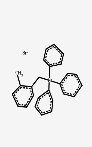 Cc1ccccc1C[P+](c1ccccc1)(c1ccccc1)c1ccccc1.[Br-]